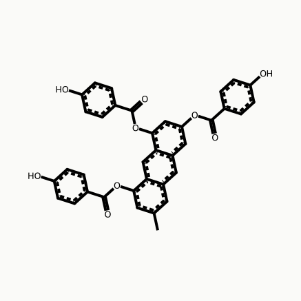 Cc1cc(OC(=O)c2ccc(O)cc2)c2cc3c(OC(=O)c4ccc(O)cc4)cc(OC(=O)c4ccc(O)cc4)cc3cc2c1